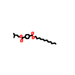 CCCCCCCCCCCCOC(=O)C1CCC(C(=O)OCCC(C)C)CC1